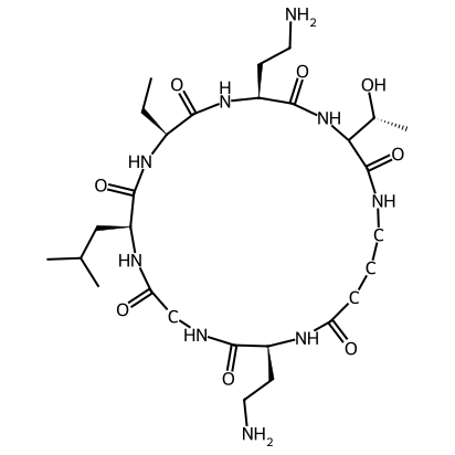 CC[C@@H]1NC(=O)[C@H](CC(C)C)NC(=O)CNC(=O)[C@H](CCN)NC(=O)CCCNC(=O)C([C@@H](C)O)NC(=O)[C@H](CCN)NC1=O